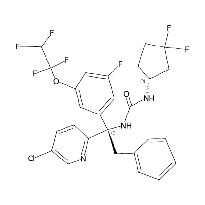 O=C(N[C@@H]1CCC(F)(F)C1)N[C@@](Cc1ccccc1)(c1cc(F)cc(OC(F)(F)C(F)F)c1)c1ccc(Cl)cn1